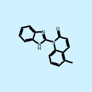 Cc1cccc2c1ccc(=O)n2-c1nc2ccccc2[nH]1